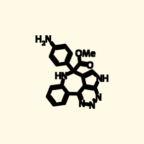 COC(=O)C1(c2ccc(N)cc2)Nc2ccccc2-c2nnnc3[nH]cc1c23